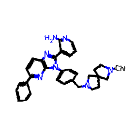 N#CN1CCC2(CCN(Cc3ccc(-n4c(-c5cccnc5N)nc5ccc(-c6ccccc6)nc54)cc3)C2)C1